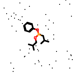 CC(C)COP(CC(C)C)Oc1ccccc1